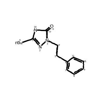 CCCCC1=NN(CCc2ccccc2)C(=O)[N]1